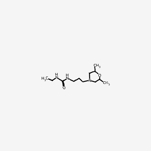 CCNC(=O)NCCCN1CC(C)OC(C)C1